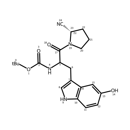 CC(C)(C)OC(=O)NC(Cc1c[nH]c2ccc(O)cc12)C(=O)N1CCC[C@H]1C#N